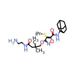 CC(C)Sc1c(OCC(C)(C)CC(=O)NCCN)noc1C(=O)NC1C2CC3CC(C2)CC1C3